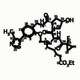 CCOC(=O)CCCCCCOc1cc(-c2scnc2C)ccc1CNC(=O)[C@@H]1C[C@@H](O)CN1C(=O)[C@@H](NC(=O)C1(F)CC1)C(C)(C)C